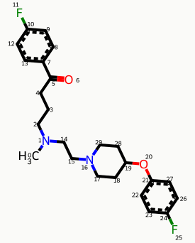 CN(CCCC(=O)c1ccc(F)cc1)CCN1CCC(Oc2ccc(F)cc2)CC1